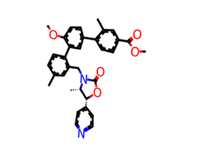 COC(=O)c1ccc(-c2ccc(OC)c(-c3ccc(C)cc3CN3C(=O)O[C@H](c4ccncc4)[C@@H]3C)c2)c(C)c1